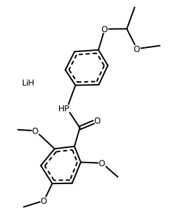 COc1cc(OC)c(C(=O)Pc2ccc(OC(C)OC)cc2)c(OC)c1.[LiH]